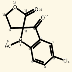 CC(=O)N1c2ccc(Cl)cc2C(=O)C12CCOC2=O